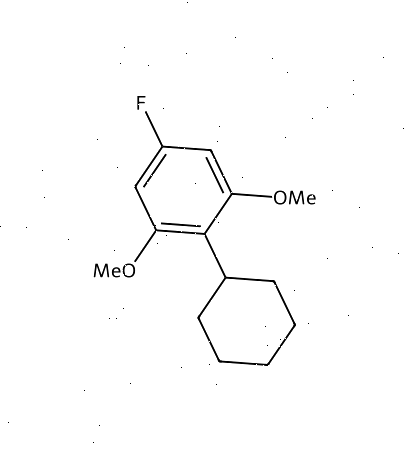 COc1cc(F)cc(OC)c1C1CCCCC1